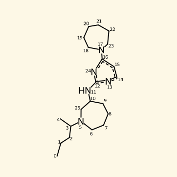 CCCC(C)N1CCCCC(Nc2nccc(N3CCCCCC3)n2)C1